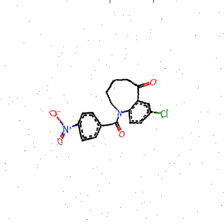 O=C1CCCCN(C(=O)c2ccc([N+](=O)[O-])cc2)c2ccc(Cl)cc21